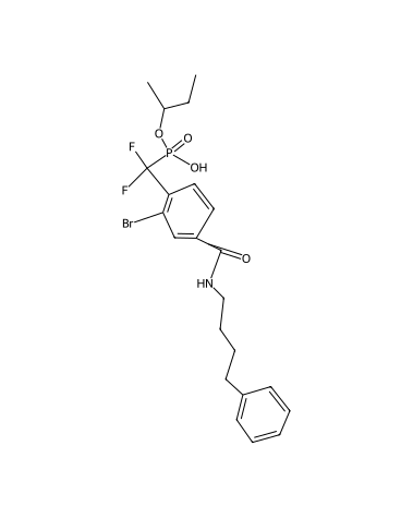 CCC(C)OP(=O)(O)C(F)(F)c1ccc(C(=O)NCCCCc2ccccc2)cc1Br